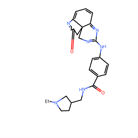 CCN1CCC(CNC(=O)c2ccc(NC3=NCC45CC(=O)CC=NC4=CC=CC5=N3)cc2)C1